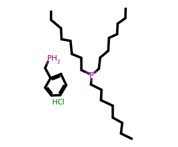 CCCCCCCCP(CCCCCCCC)CCCCCCCC.Cl.PCc1ccccc1